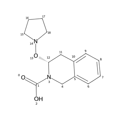 O=C(O)N1Cc2ccccc2C[C@H]1ON1CCCC1